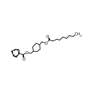 CCCCCCCCC(=O)OCC1CCC(COC(=O)c2ccccc2)CC1